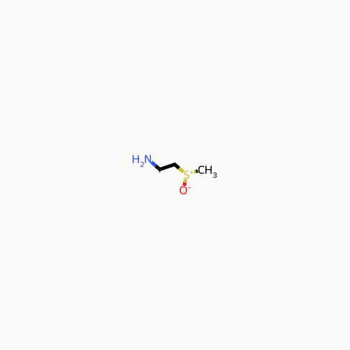 C[S+]([O-])C[CH]N